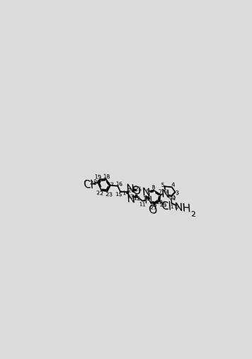 NC[C@@H]1CCCN1c1cnn(Cc2nc(CCc3ccc(Cl)cc3)no2)c(=O)c1Cl